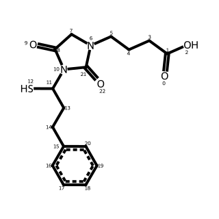 O=C(O)CCCN1CC(=O)N(C(S)CCc2ccccc2)C1=O